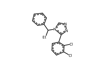 CCC(c1ccccc1)n1cnnc1-c1cccc(Cl)c1Cl